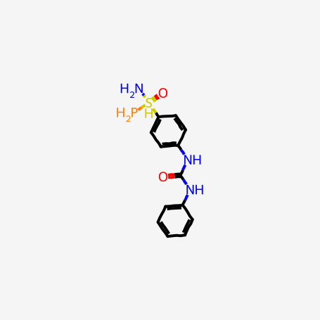 N[SH](=O)(P)c1ccc(NC(=O)Nc2ccccc2)cc1